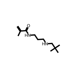 C=C(C)C(=O)NCCCNCC(C)(C)C